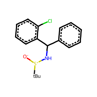 CC(C)(C)[S+]([O-])NC(c1ccccc1)c1ccccc1Cl